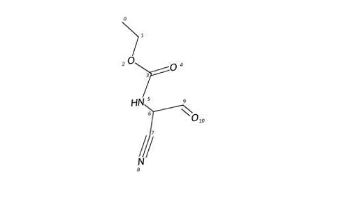 CCOC(=O)NC(C#N)C=O